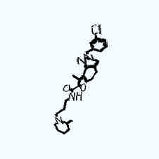 Cc1c(C(=O)NCCCN2CCCCC2C)oc2c1-c1nn(Cc3cccc(Cl)c3)cc1CC2